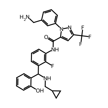 NCc1cccc(-n2nc(C(F)(F)F)cc2C(=O)Nc2cccc(C(NCC3CC3)c3ccccc3O)c2F)c1